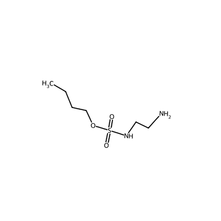 CCCCOS(=O)(=O)NCCN